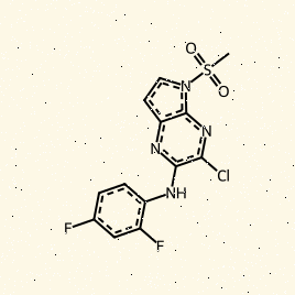 CS(=O)(=O)n1ccc2nc(Nc3ccc(F)cc3F)c(Cl)nc21